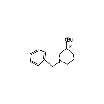 CC(C)(C)[C@H]1CCCN(Cc2ccccc2)C1